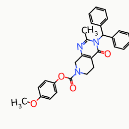 COc1ccc(OC(=O)N2CCc3c(nc(C)n(C(c4ccccc4)c4ccccc4)c3=O)C2)cc1